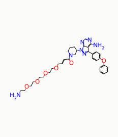 NCCOCCOCCOCCOC/C=C/C(=O)N1CCC[C@@H](n2nc(-c3ccc(Oc4ccccc4)cc3)c3c(N)ncnc32)C1